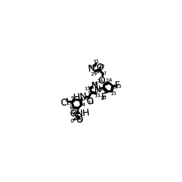 CS(=O)(=O)Nc1cc(Cl)cc(NC(=O)c2cnn(-c3c(F)cc(F)cc3OCc3cnco3)c2)c1